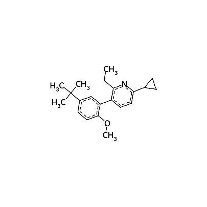 CCc1nc(C2CC2)ccc1-c1cc(C(C)(C)C)ccc1OC